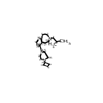 CC(C)CN1CCc2ncnc(N3CCN(C4CCC4)CC3)c2CC1